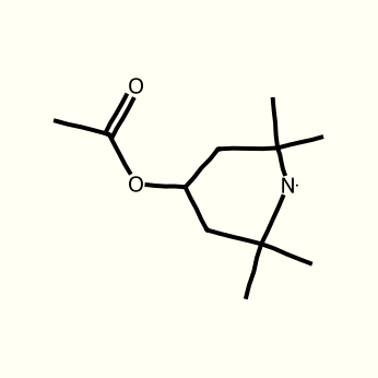 CC(=O)OC1CC(C)(C)[N]C(C)(C)C1